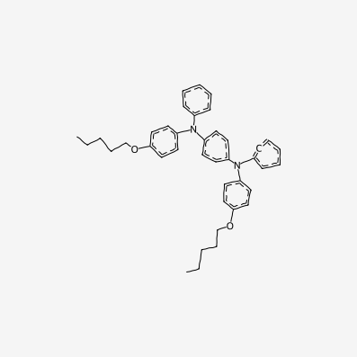 CCCCCOc1ccc(N(c2ccccc2)c2ccc(N(c3ccccc3)c3ccc(OCCCCC)cc3)cc2)cc1